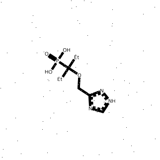 CCC(CC)(OCc1nc[nH]n1)P(=O)(O)O